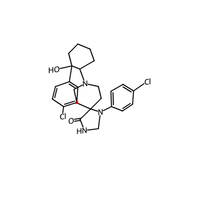 O=C1NCN(c2ccc(Cl)cc2)C12CCN(C1CCCCC1(O)c1ccc(Cl)cc1)CC2